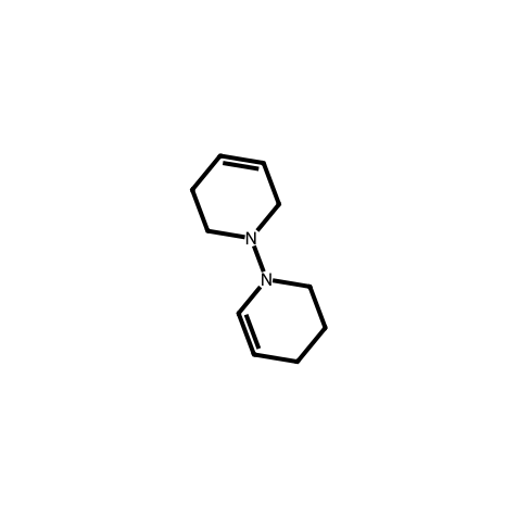 C1=CN(N2CC=CCC2)CCC1